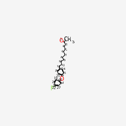 CC(=O)CCCCCCCCCCc1ccc(Oc2ccc(F)cc2)cc1